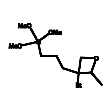 CCC1(CCC[Si](OC)(OC)OC)COC1C